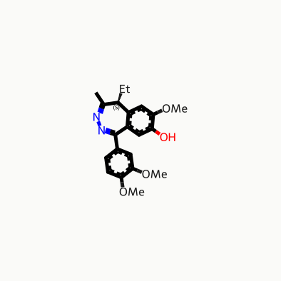 CC[C@@H]1C(C)=NN=C(c2ccc(OC)c(OC)c2)c2cc(O)c(OC)cc21